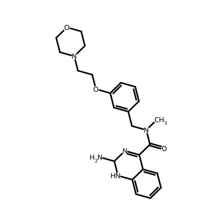 CN(Cc1cccc(OCCN2CCOCC2)c1)C(=O)C1=NC(N)Nc2ccccc21